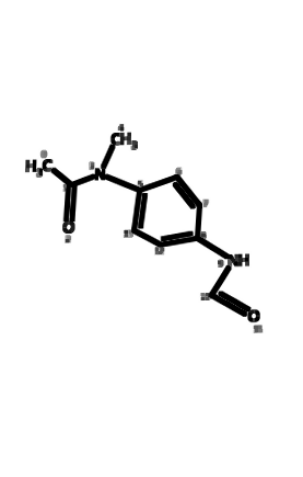 CC(=O)N(C)c1ccc(NC=O)cc1